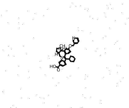 CN1CC[C@H]2Cn3c(c(C4CCCCC4)c4ccc(C(=O)O)cc43)-c3ccc(OCc4cccnc4)cc3[C@H]21